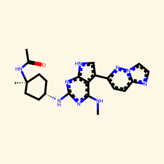 CNc1nc(N[C@H]2CC[C@](C)(NC(C)=O)CC2)nc2[nH]cc(-c3ccc4nccn4n3)c12